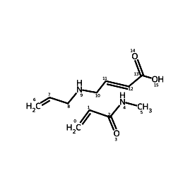 C=CC(=O)NC.C=CCNCC=CC(=O)O